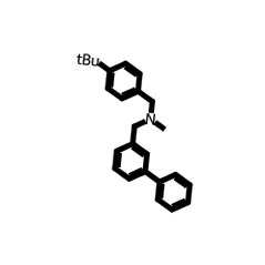 CN(Cc1ccc(C(C)(C)C)cc1)Cc1cccc(-c2ccccc2)c1